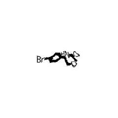 O=C1COCC(c2ccc(Br)cc2)N1